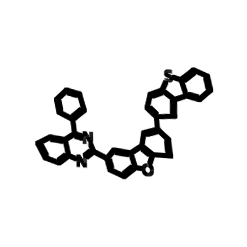 c1ccc(-c2nc(-c3ccc4oc5ccc(-c6ccc7sc8ccccc8c7c6)cc5c4c3)nc3ccccc23)cc1